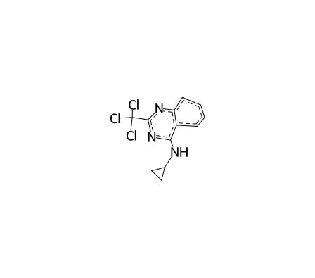 ClC(Cl)(Cl)c1nc(NC2CC2)c2ccccc2n1